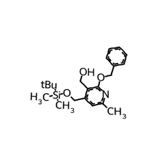 Cc1cc(CO[Si](C)(C)C(C)(C)C)c(CO)c(OCc2ccccc2)n1